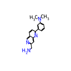 CN(C)c1cccc(-c2ccc3cnc(CN)cc3n2)c1